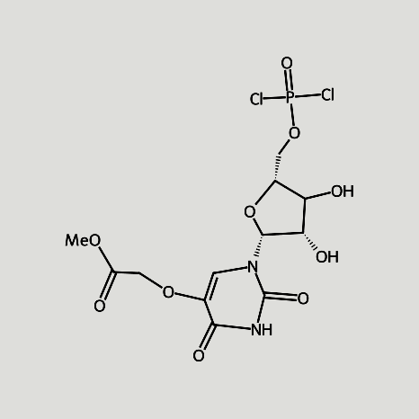 COC(=O)COc1cn([C@@H]2O[C@H](COP(=O)(Cl)Cl)C(O)[C@@H]2O)c(=O)[nH]c1=O